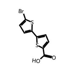 O=C(O)c1ccc(-c2ccc(Br)s2)s1